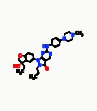 C=CCn1c(=O)c2cnc(Nc3ccc(N4CCN(C)CC4)cc3)nc2n1-c1ccc2c(c1)[C@@](O)(CC)CO2